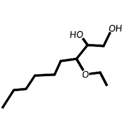 CCCCCCC(OCC)C(O)CO